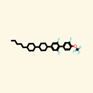 CCCCCC1CCC(C2CCC(c3cc(F)c(-c4ccc(OC(F)(F)F)c(F)c4)c(F)c3)CC2)CC1